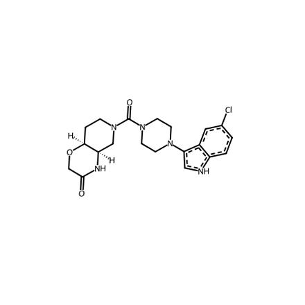 O=C1CO[C@H]2CCN(C(=O)N3CCN(c4c[nH]c5ccc(Cl)cc45)CC3)C[C@H]2N1